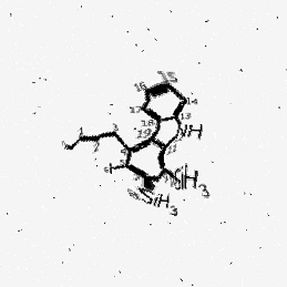 CCCCc1c(I)c([SiH3])c([SiH3])c2[nH]c3ccccc3c12